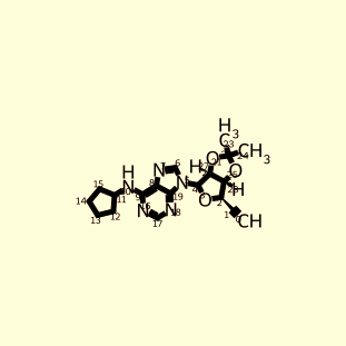 C#C[C@H]1OC(n2cnc3c(NC4CCCC4)ncnc32)[C@H]2OC(C)(C)O[C@@H]21